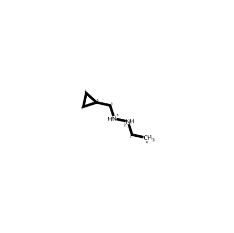 CCNNCC1CC1